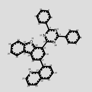 c1ccc(-c2nc(-c3ccccc3)nc(-c3cc(-c4cccc5cccnc45)cc4c3oc3ccccc34)n2)cc1